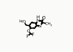 Cc1nc2cc(OC(F)F)c(CO)cc2[nH]c1=O